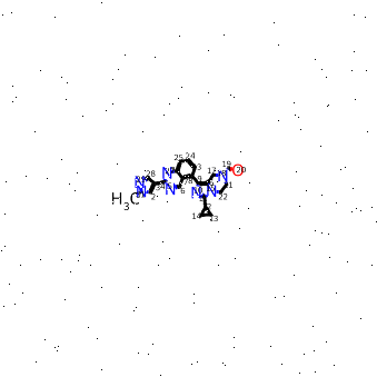 Cn1cc(-c2ncc3c(-c4nc(C5CC5)n5c4CN(C=O)CC5)cccc3n2)cn1